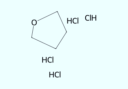 C1CCOC1.Cl.Cl.Cl.Cl